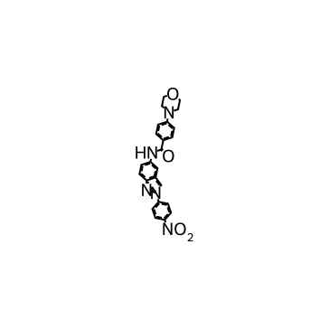 O=C(Nc1ccc2nn(-c3ccc([N+](=O)[O-])cc3)cc2c1)c1ccc(N2CCOCC2)cc1